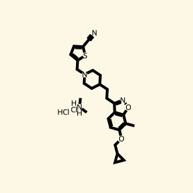 CNC.Cc1c(OCC2CC2)ccc2c(CCC3CCN(Cc4ccc(C#N)s4)CC3)noc12.Cl.Cl